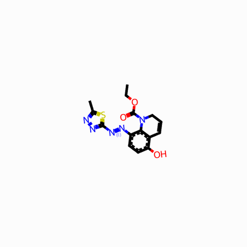 CCOC(=O)N1CC=Cc2c(O)ccc(/N=N/c3nnc(C)s3)c21